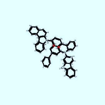 c1ccc(-c2cccc(N(c3cc4oc5ccccc5c4cn3)c3ccccc3-c3ccc(-n4c5ccccc5c5c6ccccc6ccc54)cc3)c2)cc1